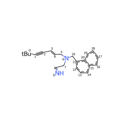 CC(C)(C)C#CC=CCN(CC=N)Cc1cccc2ccccc12